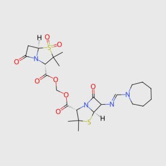 CC1(C)S[C@@H]2C(/N=C/N3CCCCCC3)C(=O)N2[C@H]1C(=O)OCOC(=O)[C@@H]1N2C(=O)C[C@H]2S(=O)(=O)C1(C)C